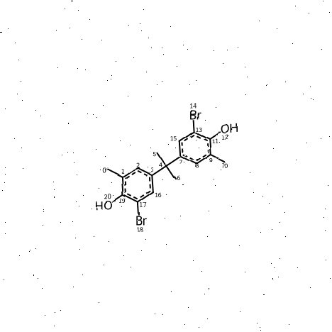 Cc1cc(C(C)(C)c2cc(C)c(O)c(Br)c2)cc(Br)c1O